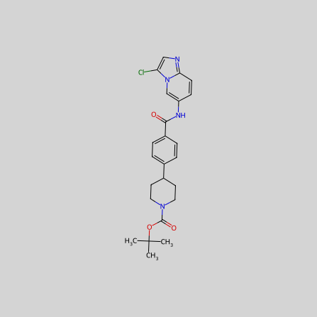 CC(C)(C)OC(=O)N1CCC(c2ccc(C(=O)Nc3ccc4ncc(Cl)n4c3)cc2)CC1